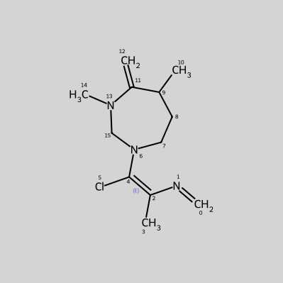 C=N/C(C)=C(/Cl)N1CCC(C)C(=C)N(C)C1